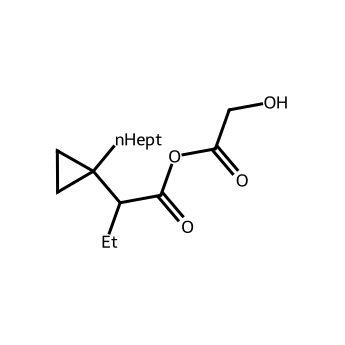 CCCCCCCC1(C(CC)C(=O)OC(=O)CO)CC1